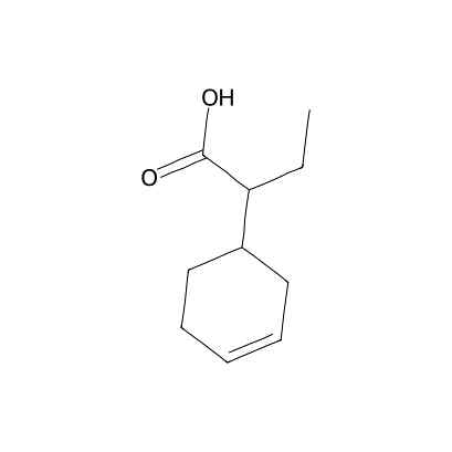 CCC(C(=O)O)C1CC=CCC1